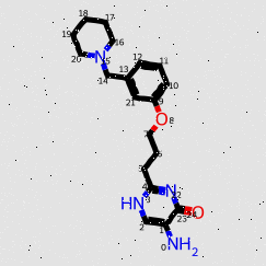 Nc1c[nH]c(CCCOc2cccc(CN3CCCCC3)c2)nc1=O